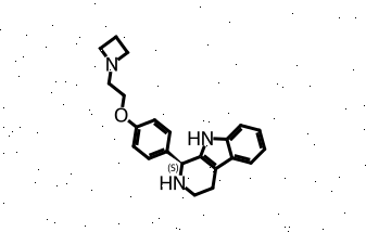 c1ccc2c3c([nH]c2c1)[C@H](c1ccc(OCCN2CCC2)cc1)NCC3